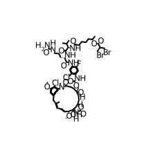 COc1cc2cc(c1Cl)N(C)C(=O)C[C@H](OC(=O)Nc1cc(F)c(NC(=O)[C@H](CCCNC(N)=O)NC(=O)[C@@H](NC(=O)CCCCC(C)OC(=O)C(CBr)CBr)C(C)C)cc1Cl)[C@]1(C)O[C@H]1[C@H](C)[C@@H]1C[C@@](O)(NC(=O)O1)[C@H](OC)/C=C/C=C(\C)C2